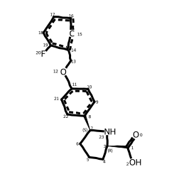 O=C(O)[C@H]1CCC[C@@H](c2ccc(OCc3ccccc3F)cc2)N1